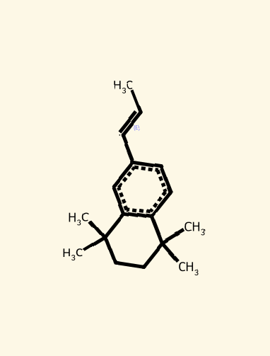 C/C=[C]/c1ccc2c(c1)C(C)(C)CCC2(C)C